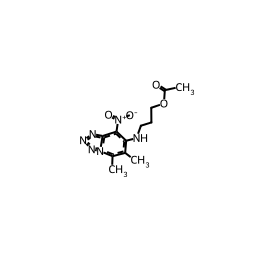 CC(=O)OCCCNc1c(C)c(C)n2nnnc2c1[N+](=O)[O-]